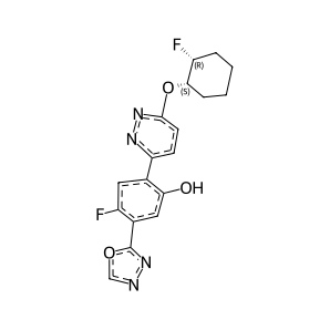 Oc1cc(-c2nnco2)c(F)cc1-c1ccc(O[C@H]2CCCC[C@H]2F)nn1